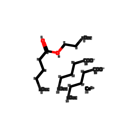 CCCCCCCCCCCCCC(=O)OCCCCCCCCCCCC.CCCCCCCCCCCCCC(=O)[O-].CCCCCCCCCCCCCC(=O)[O-].[Ca+2]